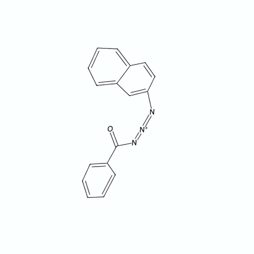 O=C(N=[N+]=Nc1ccc2ccccc2c1)c1ccccc1